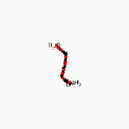 NC(=O)CCCCCCC/C=C\CCCCCCCCCCCCCCCC/C=C\CCCCCCCC(N)=O